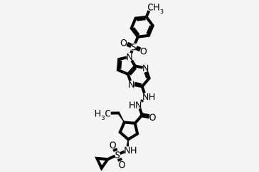 CC[C@@H]1C[C@H](NS(=O)(=O)C2CC2)CC1C(=O)NNc1cnc2c(ccn2S(=O)(=O)c2ccc(C)cc2)n1